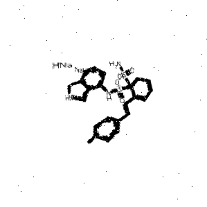 Cc1ccc(C=CC2=CC=CCC2(S(N)(=O)=O)S(=O)(=O)Nc2cccc3c2CNC3)cc1.[NaH].[NaH]